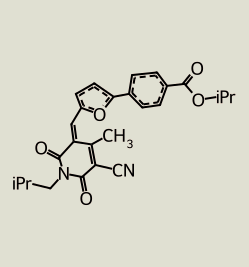 CC1=C(C#N)C(=O)N(CC(C)C)C(=O)/C1=C/c1ccc(-c2ccc(C(=O)OC(C)C)cc2)o1